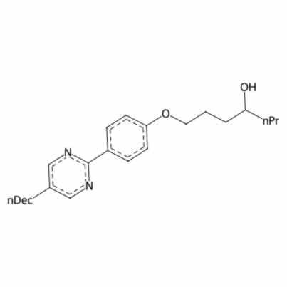 CCCCCCCCCCc1cnc(-c2ccc(OCCCC(O)CCC)cc2)nc1